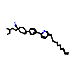 CCCCCCCCCc1ccc(-c2ccc(C3CCC(C#N)(CCC(C)CC)CC3)cc2)nc1